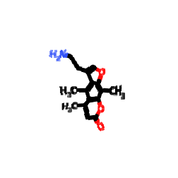 Cc1c2oc(=O)cc(C)c2c(C)c2c(CCN)coc12